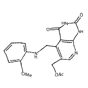 COc1ccccc1NCc1c(COC(C)=O)cnc2[nH]c(=O)[nH]c(=O)c12